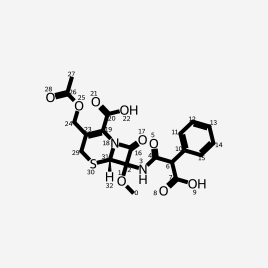 COC1(NC(=O)C(C(=O)O)c2ccccc2)C(=O)N2C(C(=O)O)=C(COC(C)=O)CS[C@H]21